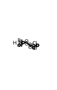 Nc1c(Br)cc(C(=O)OCCOC(=O)Cc2ccccc2Nc2c(Cl)cccc2Cl)cc1CN1CCCCC1